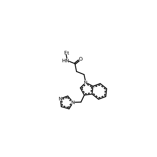 CCNC(=O)CCn1cc(Cn2ccnc2)c2ccccc21